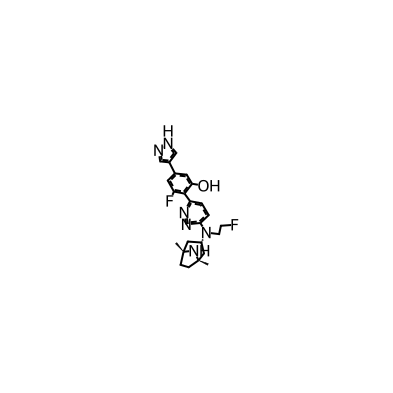 C[C@]12CC[C@](C)(C[C@H](N(CCF)c3ccc(-c4c(O)cc(-c5cn[nH]c5)cc4F)nn3)C1)N2